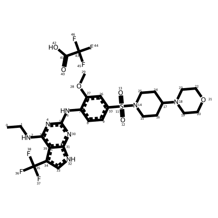 CCNc1nc(Nc2ccc(S(=O)(=O)N3CCC(N4CCOCC4)CC3)cc2OC)nc2[nH]cc(C(F)(F)F)c12.O=C(O)C(F)(F)F